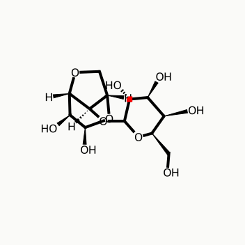 OC[C@H]1OC(O[C@H]2[C@H]3OC[C@@H]2O[C@@H](O)[C@H]3O)[C@H](O)[C@@H](O)[C@H]1O